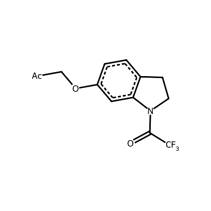 CC(=O)COc1ccc2c(c1)N(C(=O)C(F)(F)F)CC2